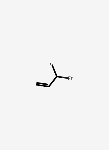 [C]C(C=C)CC